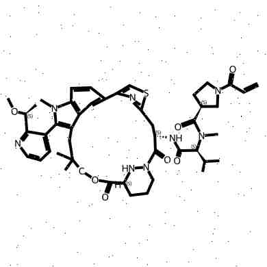 C=CC(=O)N1CC[C@H](C(=O)N(C)[C@H](C(=O)N[C@H]2Cc3nc(cs3)-c3ccc4c(c3)c(c(-c3cccnc3[C@H](C)OC)n4C)CC(C)(C)COC(=O)[C@@H]3CCCN(N3)C2=O)C(C)C)C1